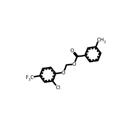 Cc1cccc(C(=O)OCOc2ccc(C(F)(F)F)cc2Cl)c1